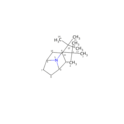 CC(C)(C)CN1C2CCC1CC(C(C)(C)C)C2